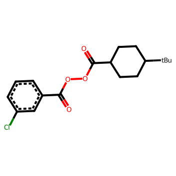 CC(C)(C)C1CCC(C(=O)OOC(=O)c2cccc(Cl)c2)CC1